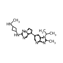 CNC1CC(Nc2ncc3c(-c4cnc5nc(C)n(C(C)C)c5c4)ccn3n2)C1